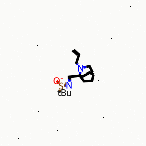 C=CCN1CC2CCC1(C=N[S+]([O-])C(C)(C)C)CC2